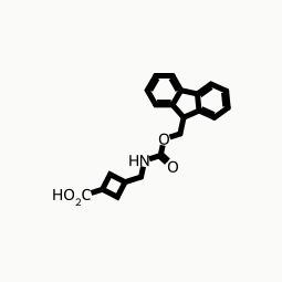 O=C(NCC1CC(C(=O)O)C1)OCC1c2ccccc2-c2ccccc21